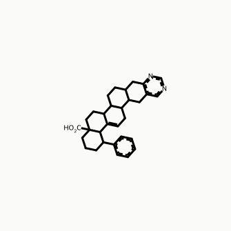 O=C(O)C12CCCC(c3ccccc3)C1C1=CCC3C4Cc5cncnc5CC4CCC3C1CC2